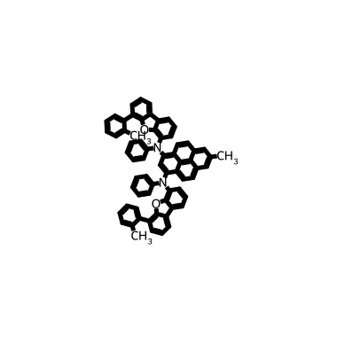 Cc1cc2ccc3c(N(c4ccccc4)c4cccc5c4oc4c(-c6ccccc6C)cccc45)cc(N(c4ccccc4)c4cccc5c4oc4c(-c6ccccc6C)cccc45)c4ccc(c1)c2c34